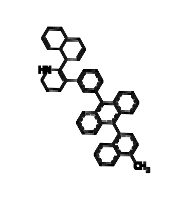 Cc1ccc(-c2c3ccccc3c(-c3cccc(C4=C(C5C=CC=C6C=CC=CC65)NCC=C4)c3)c3ccccc23)c2ccccc12